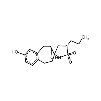 CCCN1CC2(NS1(=O)=O)C1CCC2Cc2cc(O)ccc2C1